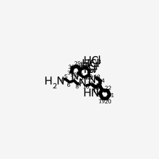 Cl.Cl.Cl.Cl.NCCCCN(Cc1nccc2c1[nH]c1ccccc12)C1CCCc2cccnc21